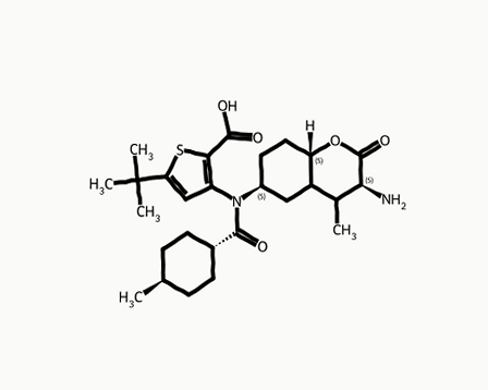 CC1C2C[C@@H](N(c3cc(C(C)(C)C)sc3C(=O)O)C(=O)[C@H]3CC[C@H](C)CC3)CC[C@@H]2OC(=O)[C@H]1N